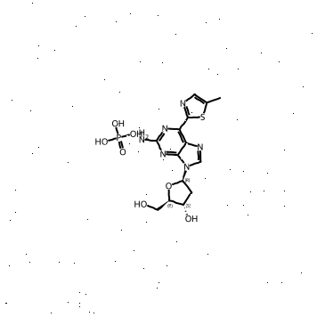 Cc1cnc(-c2nc(N)nc3c2ncn3[C@H]2C[C@H](O)[C@@H](CO)O2)s1.O=P(O)(O)O